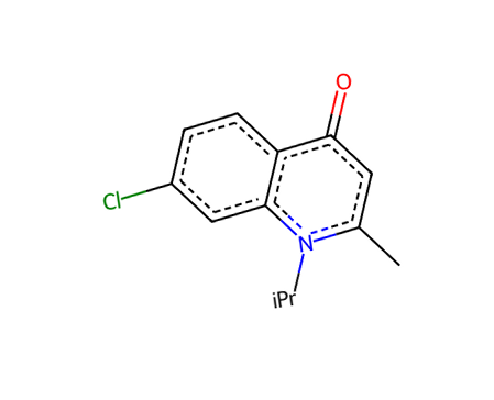 Cc1cc(=O)c2ccc(Cl)cc2n1C(C)C